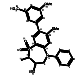 CCCCC1CN(c2ccccc2)c2cc(SC)c(-c3cc(OC)cc(C(=O)O)c3)cc2S(=O)(=O)N1C